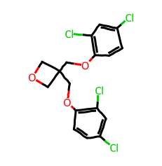 Clc1ccc(OCC2(COc3ccc(Cl)cc3Cl)COC2)c(Cl)c1